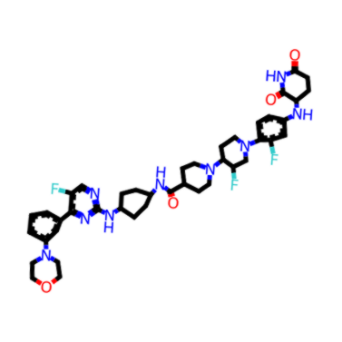 O=C1CCC(Nc2ccc(N3CCC(N4CCC(C(=O)NC5CCC(Nc6ncc(F)c(-c7cccc(N8CCOCC8)c7)n6)CC5)CC4)C(F)C3)c(F)c2)C(=O)N1